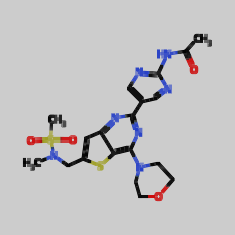 CC(=O)Nc1ncc(-c2nc(N3CCOCC3)c3sc(CN(C)S(C)(=O)=O)cc3n2)cn1